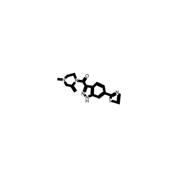 C=C1CN(C)CCN1C(=O)c1n[nH]c2cc(-c3nccs3)ccc12